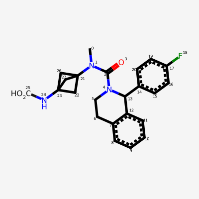 CN(C(=O)N1CCc2ccccc2C1c1ccc(F)cc1)C12CC(NC(=O)O)(C1)C2